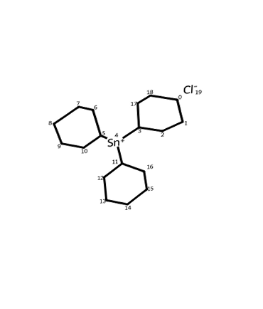 C1CC[CH]([Sn+]([CH]2CCCCC2)[CH]2CCCCC2)CC1.[Cl-]